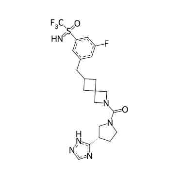 N=S(=O)(c1cc(F)cc(CC2CC3(C2)CN(C(=O)N2CC[C@H](c4ncn[nH]4)C2)C3)c1)C(F)(F)F